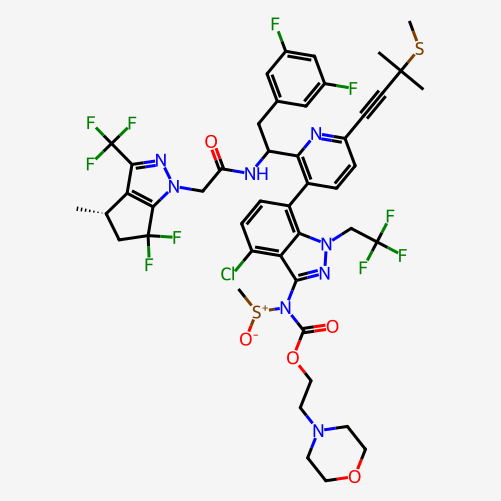 CSC(C)(C)C#Cc1ccc(-c2ccc(Cl)c3c(N(C(=O)OCCN4CCOCC4)[S+](C)[O-])nn(CC(F)(F)F)c23)c(C(Cc2cc(F)cc(F)c2)NC(=O)Cn2nc(C(F)(F)F)c3c2C(F)(F)C[C@@H]3C)n1